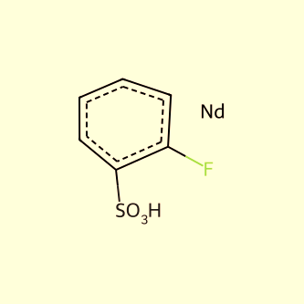 O=S(=O)(O)c1ccccc1F.[Nd]